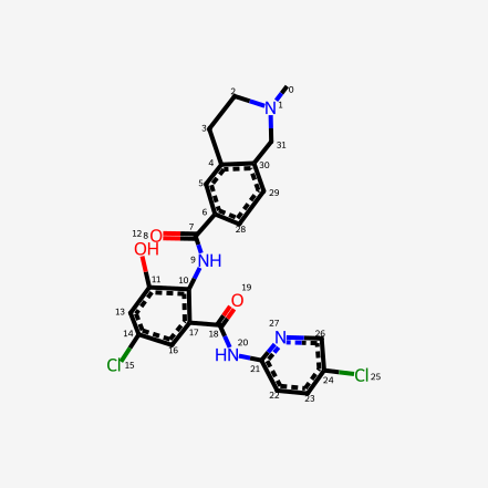 CN1CCc2cc(C(=O)Nc3c(O)cc(Cl)cc3C(=O)Nc3ccc(Cl)cn3)ccc2C1